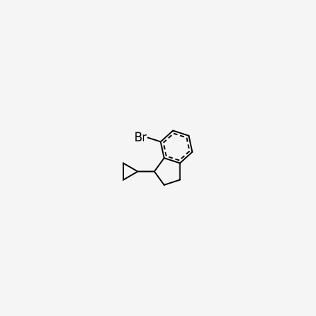 Brc1cccc2c1C(C1CC1)CC2